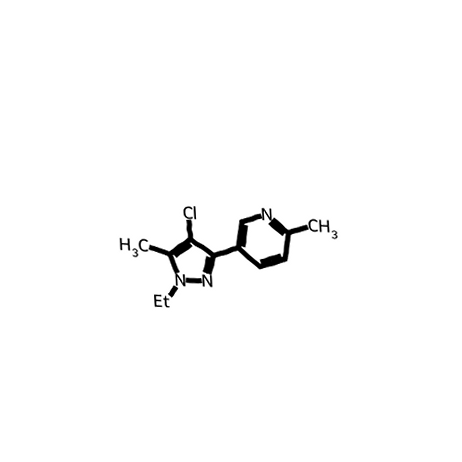 CCn1nc(-c2ccc(C)nc2)c(Cl)c1C